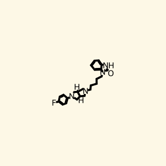 O=c1[nH]c2ccccc2n1CCCCCN1C[C@@H]2CN(c3ccc(F)cc3)C[C@@H]2C1